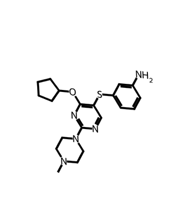 CN1CCN(c2ncc(Sc3cccc(N)c3)c(OC3CCCC3)n2)CC1